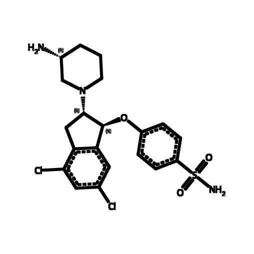 N[C@@H]1CCCN([C@H]2Cc3c(Cl)cc(Cl)cc3[C@@H]2Oc2ccc(S(N)(=O)=O)cc2)C1